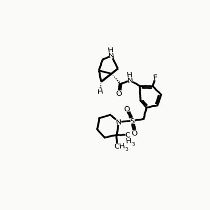 CC1(C)CCCCN1S(=O)(=O)Cc1ccc(F)c(NC(=O)[C@]23C4CNC2[C@H]43)c1